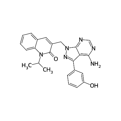 CC(C)n1c(=O)c(Cn2nc(-c3cccc(O)c3)c3c(N)ncnc32)cc2ccccc21